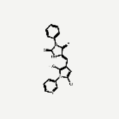 Cc1cc(C=C2NC(=O)N(c3ccccc3)C2=O)c(C)n1-c1cccnc1